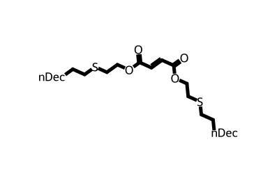 CCCCCCCCCCCCSCCOC(=O)C=CC(=O)OCCSCCCCCCCCCCCC